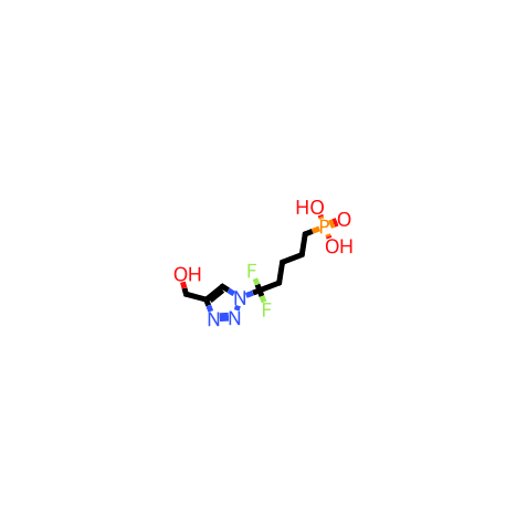 O=P(O)(O)CCCCC(F)(F)n1cc(CO)nn1